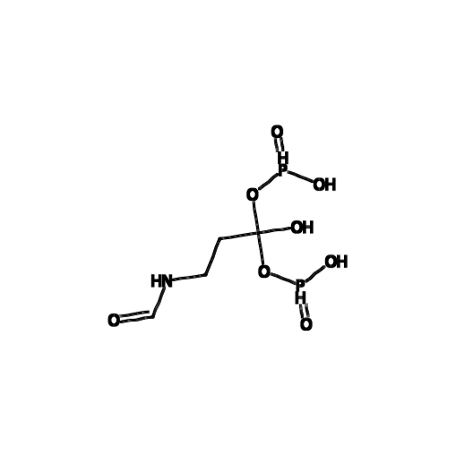 O=CNCCC(O)(O[PH](=O)O)O[PH](=O)O